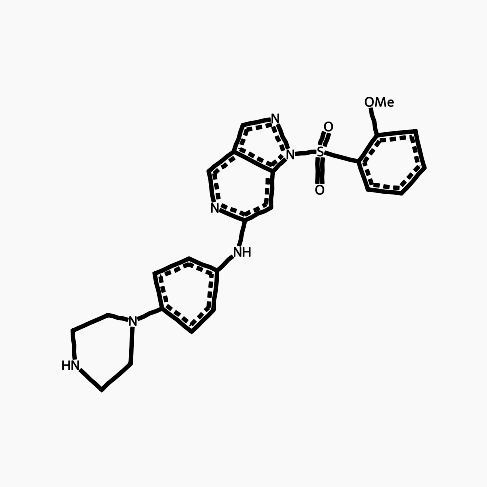 COc1ccccc1S(=O)(=O)n1ncc2cnc(Nc3ccc(N4CCNCC4)cc3)cc21